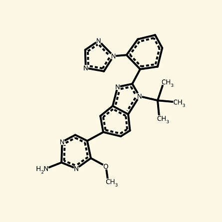 COc1nc(N)ncc1-c1ccc2c(c1)nc(-c1ccccc1-n1cncn1)n2C(C)(C)C